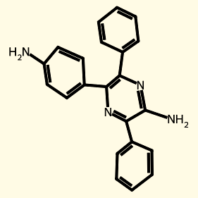 Nc1ccc(-c2nc(-c3ccccc3)c(N)nc2-c2ccccc2)cc1